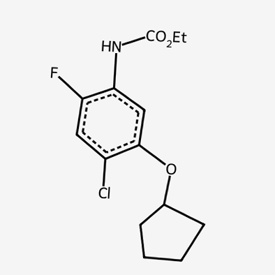 CCOC(=O)Nc1cc(OC2CCCC2)c(Cl)cc1F